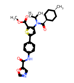 COC(=O)c1sc(-c2ccc(NC(=O)c3cnco3)cc2)cc1N(C(=O)[C@H]1CC[C@H](C)CC1)C(C)C